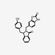 N#Cc1ccc(CC2c3ccccc3C(=O)N2Cc2ccc3[nH]c(=O)oc3c2)cc1